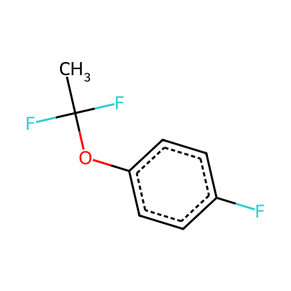 CC(F)(F)Oc1ccc(F)cc1